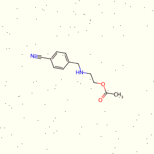 CC(=O)OCCNCc1ccc(C#N)cc1